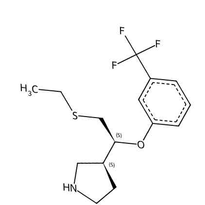 CCSC[C@@H](Oc1cccc(C(F)(F)F)c1)[C@H]1CCNC1